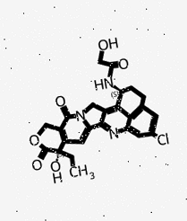 CC[C@@]1(O)C(=O)OCc2c1cc1n(c2=O)Cc2c-1nc1cc(Cl)cc3c1c2[C@@H](NC(=O)CO)CC3